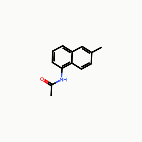 CC(=O)Nc1cccc2cc(C)ccc12